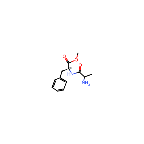 COC(=O)[C@H](Cc1ccccc1)NC(=O)C(C)N